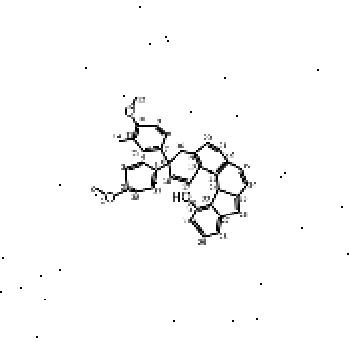 COc1ccc(C2(c3ccc(OC)c(C)c3)C=Cc3c(ccc4c3C3C(=Cc5cccc(O)c53)C=C4)C2)cc1